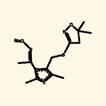 CO/N=C(\C)c1c(C)sc(C)c1CSC1=NOC(C)(C)C1